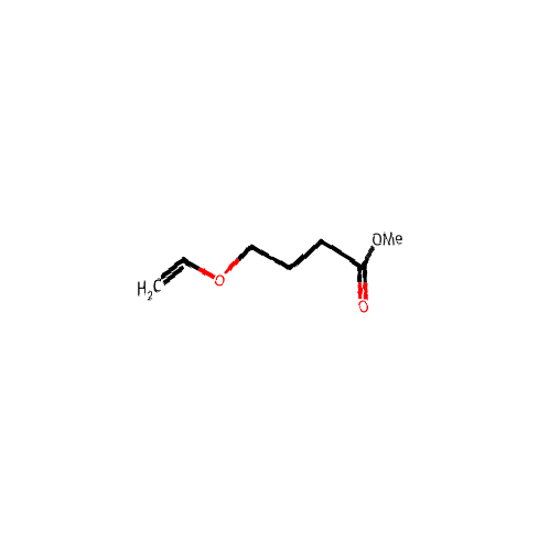 C=COCCCC(=O)OC